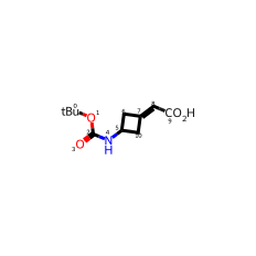 CC(C)(C)OC(=O)NC1CC(=CC(=O)O)C1